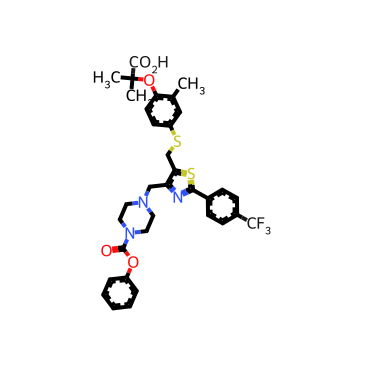 Cc1cc(SCc2sc(-c3ccc(C(F)(F)F)cc3)nc2CN2CCN(C(=O)Oc3ccccc3)CC2)ccc1OC(C)(C)C(=O)O